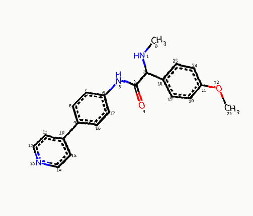 CNC(C(=O)Nc1ccc(-c2ccncc2)cc1)c1ccc(OC)cc1